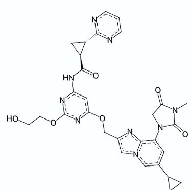 CN1C(=O)CN(c2cc(C3CC3)cn3cc(COc4cc(NC(=O)[C@H]5C[C@@H]5c5ncccn5)nc(OCCO)n4)nc23)C1=O